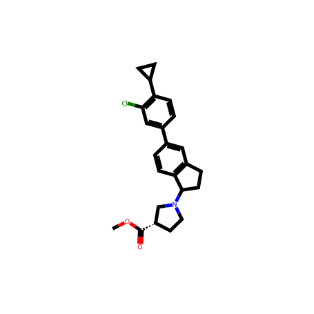 COC(=O)[C@H]1CCN(C2CCc3cc(-c4ccc(C5CC5)c(Cl)c4)ccc32)C1